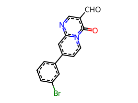 O=Cc1cnc2cc(-c3cccc(Br)c3)ccn2c1=O